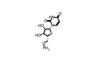 O=c1ccn([C@@H]2S[C@H](COP)[C@@H](O)[C@H]2O)c(=O)[nH]1